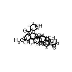 CC1(C)CC[C@]2(C(=O)N3CCNCC3)CC[C@]3(C)C(=C2C1)CC[C@@H]1[C@@]2(C)CC[C@H](C4CO4)C(C)(C)[C@@H]2CC[C@]13C